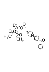 C=CC(=O)OCC(CC)(COC(=O)C=C)COC(=O)CCN1CCN(c2ccc(C(=O)c3ccccc3)cc2)CC1